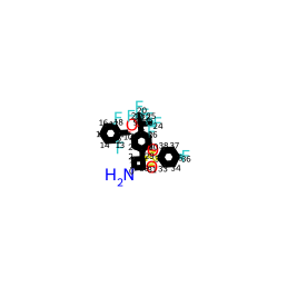 NC1CC(c2ccc(C(OCc3c(F)cccc3F)(C(F)(F)F)C(F)(F)F)cc2)(S(=O)(=O)c2ccc(F)cc2)C1